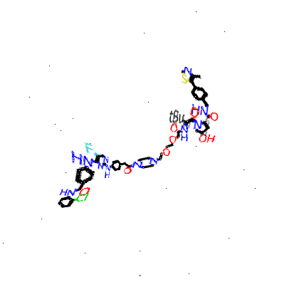 Cc1ncsc1-c1ccc(CNC(=O)[C@@H]2C[C@@H](O)CN2C(=O)[C@@H](NC(=O)COCCOCCN2CCN(C(=O)Cc3ccc(Nc4ncc(F)c(Nc5ccc(C(=O)Nc6ccccc6Cl)cc5)n4)cc3)CC2)C(C)(C)C)cc1